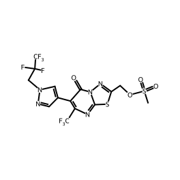 CS(=O)(=O)OCc1nn2c(=O)c(-c3cnn(CC(F)(F)C(F)(F)F)c3)c(C(F)(F)F)nc2s1